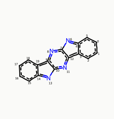 c1ccc2c(c1)=Nc1nc3c(nc1=2)N=c1ccccc1=3